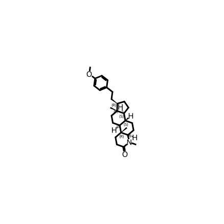 COc1ccc(CC[C@H]2CC[C@H]3[C@@H]4CC[C@H]5N(C)C(=O)CC[C@]5(C)[C@H]4CC[C@]23C)cc1